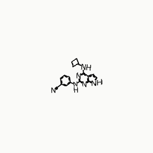 N#Cc1cccc(Nc2nc(NC3CCC3)c3cc[nH]c3n2)c1